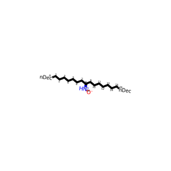 CCCCCCCCCCCCCCCCCC(CCCCCCCCCCCCCCCCC)=[NH+][O-]